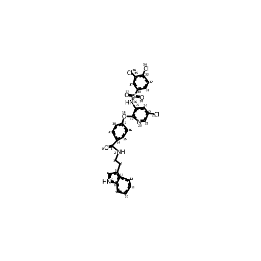 O=C(NCCc1c[nH]c2ccccc12)c1ccc(Oc2ncc(Cl)cc2NS(=O)(=O)c2ccc(Cl)c(Cl)c2)cc1